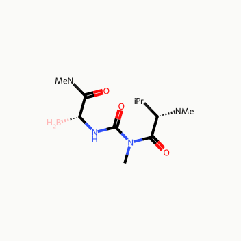 B[C@@H](NC(=O)N(C)C(=O)[C@@H](NC)C(C)C)C(=O)NC